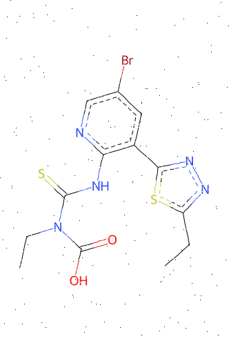 CCc1nnc(-c2cc(Br)cnc2NC(=S)N(CC)C(=O)O)s1